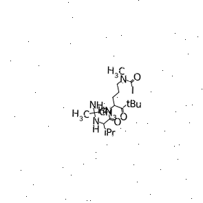 CC(C)C(NC(C)(C)N)C(=O)NC(CCCN(C)C(=O)I)C(=O)C(C)(C)C